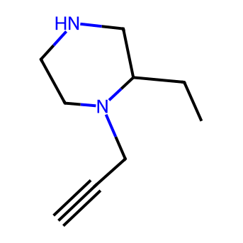 C#CCN1CCNCC1CC